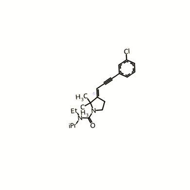 CCN(C(=O)N1CC/C(=C\C#Cc2cccc(Cl)c2)C1(C)C)C(C)C